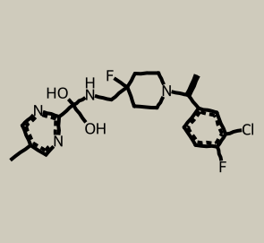 C=C(c1ccc(F)c(Cl)c1)N1CCC(F)(CNC(O)(O)c2ncc(C)cn2)CC1